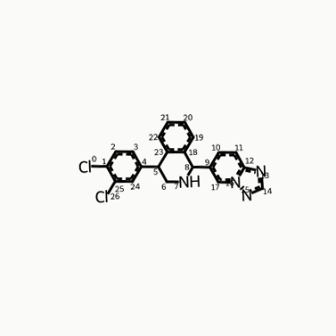 Clc1ccc(C2CNC(c3ccc4ncnn4c3)c3ccccc32)cc1Cl